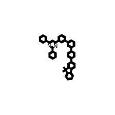 CC1(C)c2ccccc2-c2ccc(-c3ccc(-c4cccc(-c5cccc(-c6cc(-c7ccccc7)nc(-c7ccccc7)n6)c5)c4)cc3)cc21